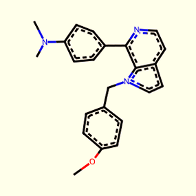 COc1ccc(Cn2ccc3ccnc(-c4ccc(N(C)C)cc4)c32)cc1